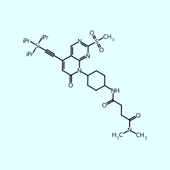 CC(C)[Si](C#Cc1cc(=O)n(C2CCC(NC(=O)CCC(=O)N(C)C)CC2)c2nc(S(C)(=O)=O)ncc12)(C(C)C)C(C)C